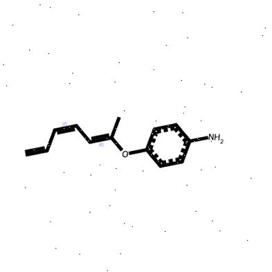 C=C/C=C\C=C(/C)Oc1ccc(N)cc1